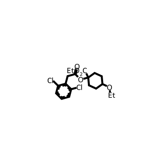 CCOC(=O)C1(OC(=O)Cc2c(Cl)cccc2Cl)CCC(OCC)CC1